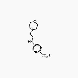 O=C(O)c1ccc(NCCN2CCOCC2)cc1